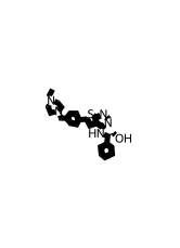 CCN1CCN(Cc2ccc(-c3cc4c(N[C@H](CO)c5ccccc5)ncnc4s3)cc2)CC1